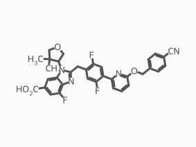 CC1(C)COCC1n1c(Cc2cc(F)c(-c3cccc(OCc4ccc(C#N)cc4)n3)cc2F)nc2c(F)cc(C(=O)O)cc21